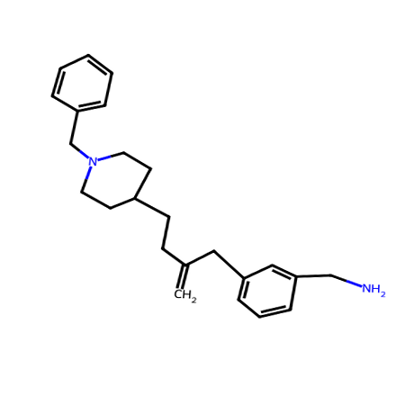 C=C(CCC1CCN(Cc2ccccc2)CC1)Cc1cccc(CN)c1